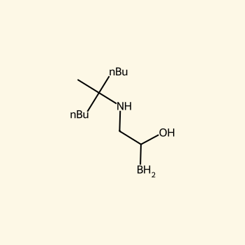 BC(O)CNC(C)(CCCC)CCCC